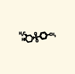 C=C1CN(S(=O)(=O)c2ccc(C)cc2)CCN1